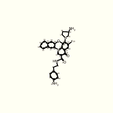 Nc1ccc(CCNC(=O)c2cn3c4c(c(N5CCC(N)C5)c(F)cc4c2=O)Oc2cc4ccccc4cc2-3)cc1